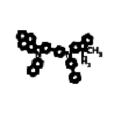 CC1(C)c2ccccc2-c2ccc(N(c3ccc(-c4ccccc4)cc3)c3ccc(-c4ccc5c6c7ccc8cccc9ccc(cc6n(-c6ccc%10ccccc%10c6)c5c4)c7c98)cc3)cc21